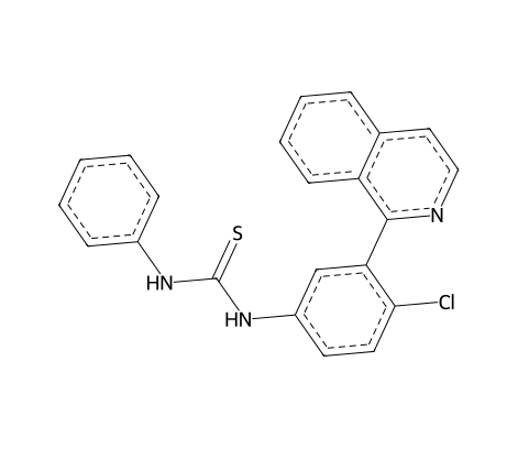 S=C(Nc1ccccc1)Nc1ccc(Cl)c(-c2nccc3ccccc23)c1